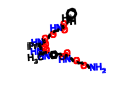 CC(C)[C@H](NC(=O)OCCOCCNC(=O)OC[C@@H]1[C@@H]2CCC#CCC[C@@H]21)C(=O)N[C@@H](C)C(=O)Nc1ccc(COC(=O)NCCOCCOCCN)cc1